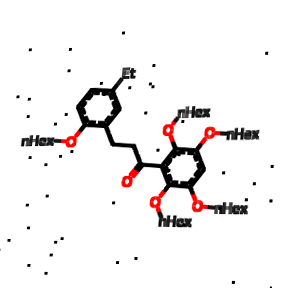 CCCCCCOc1ccc(CC)cc1CCC(=O)c1c(OCCCCCC)c(OCCCCCC)cc(OCCCCCC)c1OCCCCCC